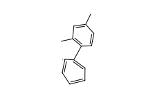 Cc1ccc(-c2[c]cccc2)c(C)c1